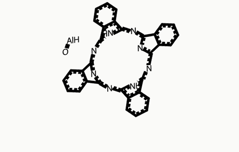 [O]=[AlH].c1ccc2c(c1)-c1nc-2nc2[nH]c(nc3nc(nc4[nH]c(n1)c1ccccc41)-c1ccccc1-3)c1ccccc21